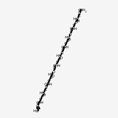 NC(=O)COCCOCCNC(=O)COCCOCCNC(=O)COCCOCCNC(=O)COCCOCCNC(=O)COCCOCCNC(=O)COCCOCCNC(=O)COCCOCCNC(=O)COCCOCCNC(=O)COCCOCCNC(=O)COCCOCCNC(=O)COc1ccc(CO)cc1